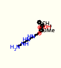 COc1cc(OCCCCNCCCNCCCCNCCCN)cc2c1C1C(O)C(C)[C@@H](c3ccccc3)C1O2